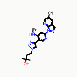 CC(C)Nc1cc(-n2ncc3cc(C#N)cnc32)ncc1-c1cn(CCC(C)(C)O)nn1